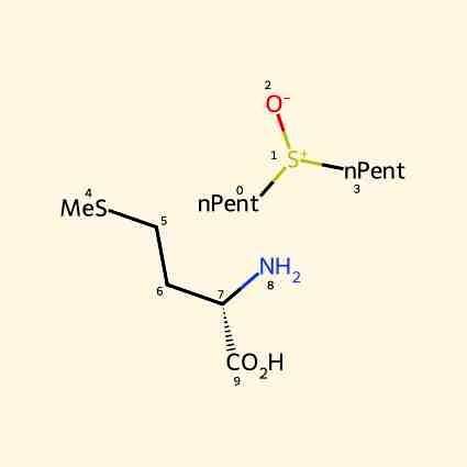 CCCCC[S+]([O-])CCCCC.CSCC[C@H](N)C(=O)O